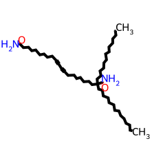 CCCCCCCCCCCCCCC(CCCCCCCC#CC#CCCCCCCCCC(N)=O)(CCCCCCCCCCCCCC)C(N)=O